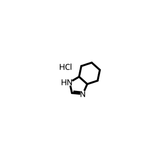 C1=NC2CCCCC2N1.Cl